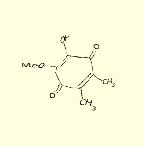 COC1=C(O)C(=O)C(C)=C(C)C1=O